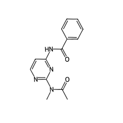 CC(=O)N(C)c1nccc(NC(=O)c2ccccc2)n1